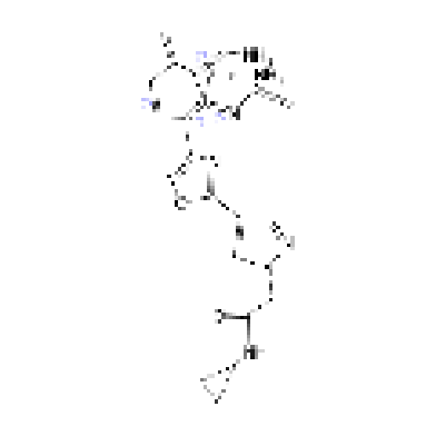 C=C(N)/N=C\C(=C/N)C(=C)/C=C\C(=C/N)c1noc(-c2cnn(CC(=O)NC3CC3)c2)n1